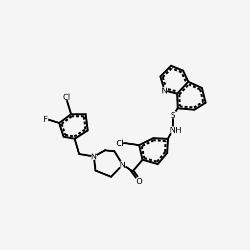 O=C(c1ccc(NSc2cccc3cccnc23)cc1Cl)N1CCN(Cc2ccc(Cl)c(F)c2)CC1